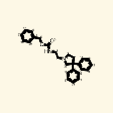 O=C(NCCN1CCC(c2ccccc2)(c2ccccc2)C1)OCc1ccccc1